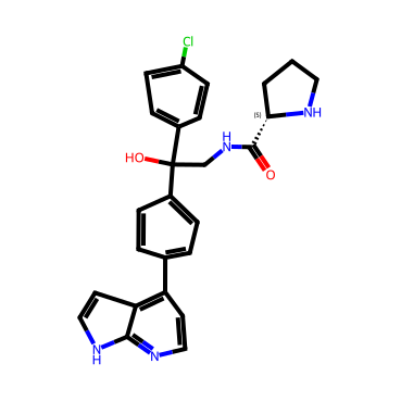 O=C(NCC(O)(c1ccc(Cl)cc1)c1ccc(-c2ccnc3[nH]ccc23)cc1)[C@@H]1CCCN1